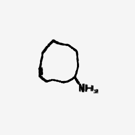 NC1CC/C=C\CCCCC1